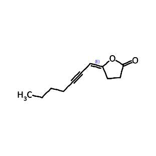 CCCCC#C/C=C1\CCC(=O)O1